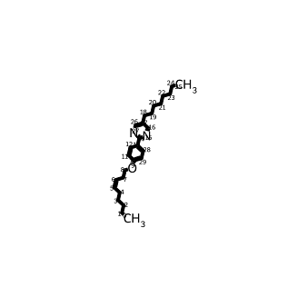 CCCCC/C=C\CCOc1ccc(-c2ncc(CCCCCCCC)cn2)cc1